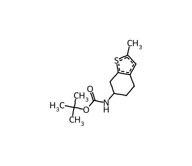 Cc1cc2c(s1)CC(NC(=O)OC(C)(C)C)CC2